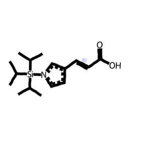 CC(C)[Si](C(C)C)(C(C)C)n1ccc(/C=C/C(=O)O)c1